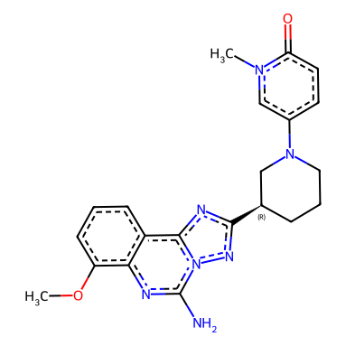 COc1cccc2c1nc(N)n1nc([C@@H]3CCCN(c4ccc(=O)n(C)c4)C3)nc21